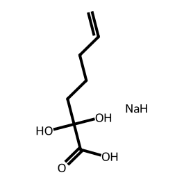 C=CCCCC(O)(O)C(=O)O.[NaH]